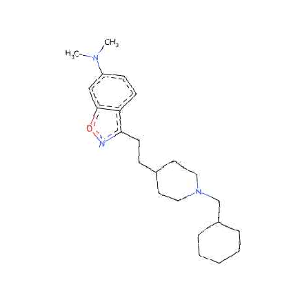 CN(C)c1ccc2c(CCC3CCN(CC4CCCCC4)CC3)noc2c1